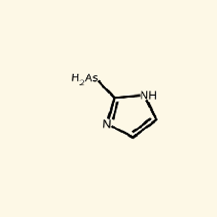 [AsH2]c1ncc[nH]1